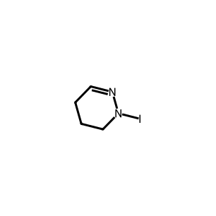 IN1CCCC=N1